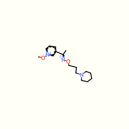 CO[n+]1cccc(/C(C)=N/OCCCN2CCCCC2)c1